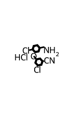 Cl.N#Cc1cc(Cl)cc(Oc2cc(CN)ccc2Cl)c1